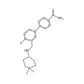 CC1(C)CCC(NCc2cc(-c3ccc(C(N)=O)cc3)ccc2F)CC1